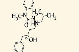 CC(C)CN(CC[C@@H](O)Cc1ccccc1)NC(=O)N(C)c1ccccc1